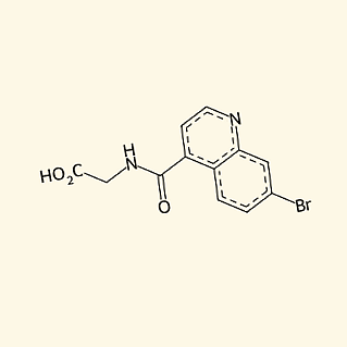 O=C(O)CNC(=O)c1ccnc2cc(Br)ccc12